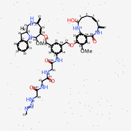 C=C1/C=C\CCC(O)Nc2cc(OCc3cc(CO/C4=C/C(=C)NC[C@@H]5Cc6ccccc6N5C4OC)cc(NC(=O)CNC(=O)CNC(=O)CN/N=N/C)c3)c(OC)cc2C(=O)N1